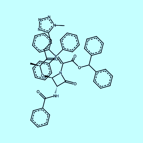 C[C@H](O[C@@H]1[C@@H](NC(=O)c2ccccc2)C(=O)N1C(C(=O)OC(c1ccccc1)c1ccccc1)=P(c1ccccc1)(c1ccccc1)c1ccccc1)C(=O)CSc1nnnn1C